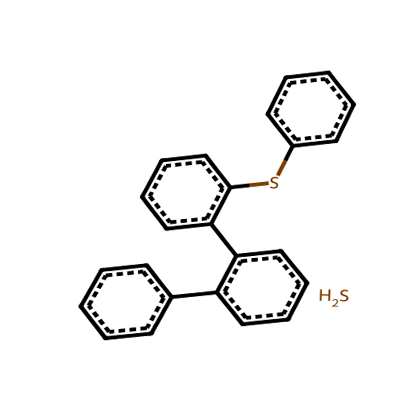 S.c1ccc(Sc2ccccc2-c2ccccc2-c2ccccc2)cc1